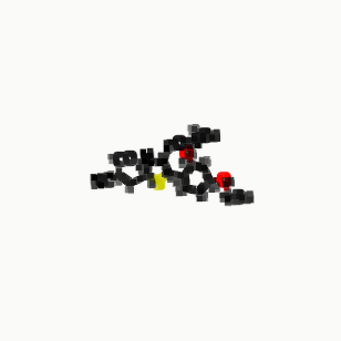 CCCCCCCCc1cc(C=C(C#N)C(=O)O)sc1-c1ccc(OCCCC)cc1OCCCC